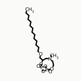 CCCCCCCCCCCCCCOCC1CN(C)CCOP2(=O)OP(=O)(O1)O2